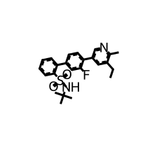 CCc1cc(-c2ccc(-c3ccccc3S(=O)(=O)NC(C)(C)C)cc2F)cnc1C